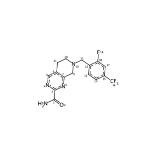 NC(=O)c1n[c]c2c(n1)CN(Cc1ccc(C(F)(F)F)cc1F)CC2